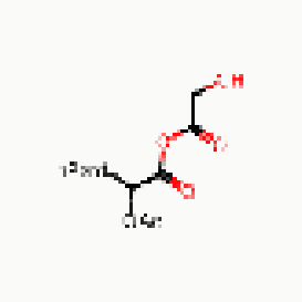 CCCCCC(OC(C)=O)C(=O)OC(=O)CO